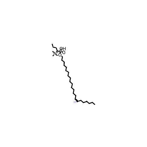 CCCCCC/C=C\CCCCCCCCCCCCCCCOP(=O)(O)C(CCC)[N+](C)(C)C